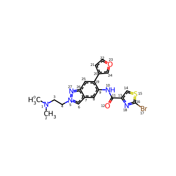 CN(C)CCn1cc2cc(NC(=O)c3csc(Br)n3)c(-c3ccoc3)cc2n1